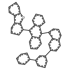 c1ccc(-c2cccc(-c3ccc4cccc(-c5c6ccccc6c(-c6cccc7c6oc6ccccc67)c6ccccc56)c4c3)c2)cc1